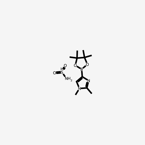 Cc1nc(B2OC(C)(C)C(C)(C)O2)cn1C.N[SH](=O)=O